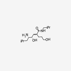 CC(C)CNC(=O)/C(=C/[C@H](O)[C@@H](N)CC(C)C)CCCO